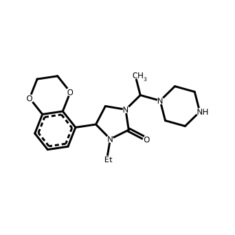 CCN1C(=O)N(C(C)N2CCNCC2)CC1c1cccc2c1OCCO2